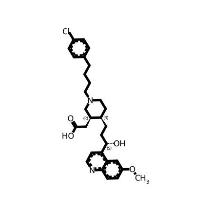 COc1ccc2nccc([C@@H](O)CC[C@@H]3CCN(CCCCc4ccc(Cl)cc4)C[C@@H]3CC(=O)O)c2c1